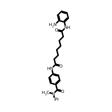 CC(C)N(C)C(=O)c1ccc(NC(=O)CCCCCCC(=O)Nc2ccccc2N)cc1